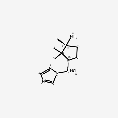 CC1(C)[C@@H](Cn2cncn2)CC[C@@]1(C)N.Cl